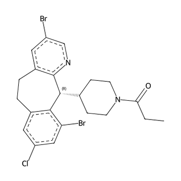 CCC(=O)N1CCC([C@H]2c3ncc(Br)cc3CCc3cc(Cl)cc(Br)c32)CC1